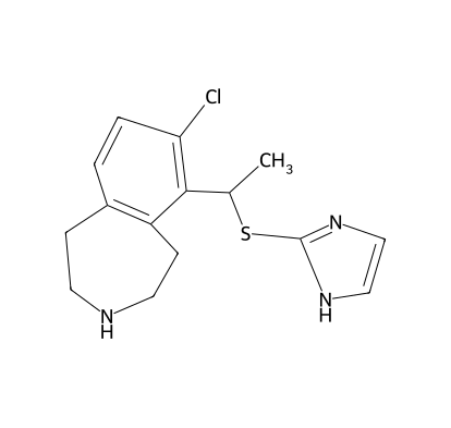 CC(Sc1ncc[nH]1)c1c(Cl)ccc2c1CCNCC2